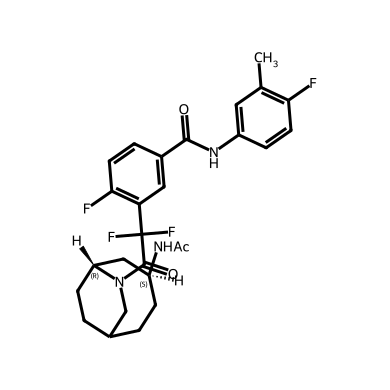 CC(=O)N[C@H]1CCC2CC[C@H](C1)N(C(=O)C(F)(F)c1cc(C(=O)Nc3ccc(F)c(C)c3)ccc1F)C2